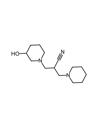 N#CC(CN1CCCCC1)CN1CCCC(O)C1